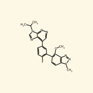 COc1c(-c2cc(-c3cnnc4c3ncn4C(C)C)ccc2F)ccc2c1nnn2C